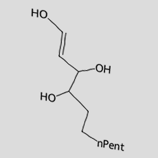 CCCCCCCC(O)C(O)C=CO